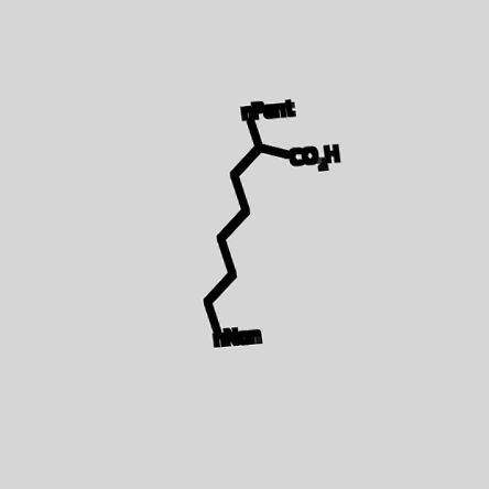 CCCCCCCCCCCCCCC(CCCCC)C(=O)O